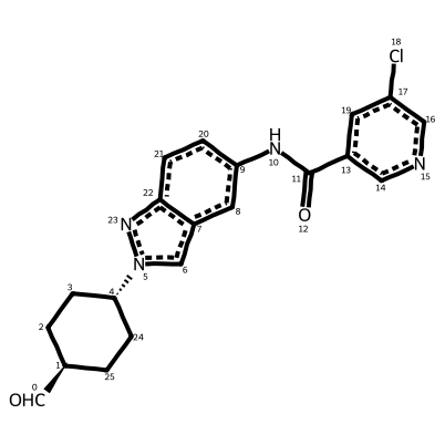 O=C[C@H]1CC[C@H](n2cc3cc(NC(=O)c4cncc(Cl)c4)ccc3n2)CC1